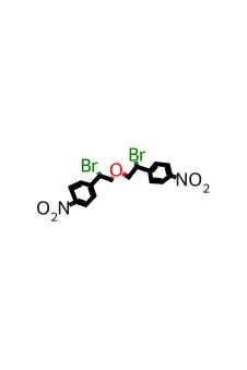 O=[N+]([O-])c1ccc(C(Br)COCC(Br)c2ccc([N+](=O)[O-])cc2)cc1